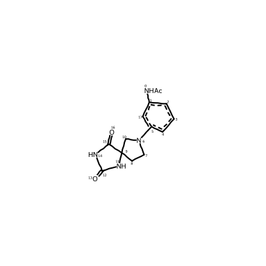 CC(=O)Nc1cccc(N2CCC3(C2)NC(=O)NC3=O)c1